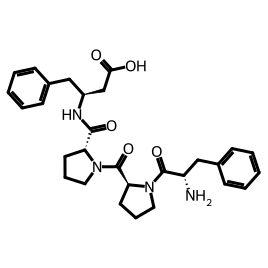 N[C@@H](Cc1ccccc1)C(=O)N1CCC[C@H]1C(=O)N1CCC[C@@H]1C(=O)N[C@H](CC(=O)O)Cc1ccccc1